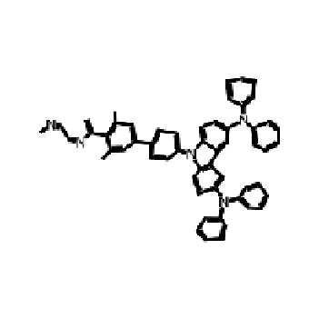 C=C(/N=C\C=N/C)c1c(C)cc(-c2ccc(-n3c4ccc(N(c5ccccc5)c5ccccc5)cc4c4cc(N(c5ccccc5)c5ccccc5)ccc43)cc2)cc1C